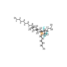 CCCCCCCCCCCCCCC(F)(CCCC)C(F)(F)P(CCCCCC)CCCCCC